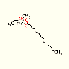 CCCCCCCCCCCCCC(=O)OC(C)(C)OCCC